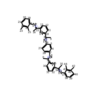 C/C(=N\c1ccc(/N=C(\C)c2cccc(/C(C)=N/c3cccc(C)c3C)n2)cc1)c1cccc(/C(C)=N/c2cccc(C)c2C)n1